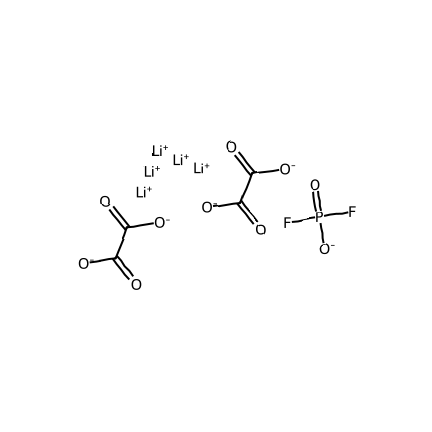 O=C([O-])C(=O)[O-].O=C([O-])C(=O)[O-].O=P([O-])(F)F.[Li+].[Li+].[Li+].[Li+].[Li+]